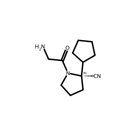 N#C[C@]1(C2CCCC2)CCCN1C(=O)CN